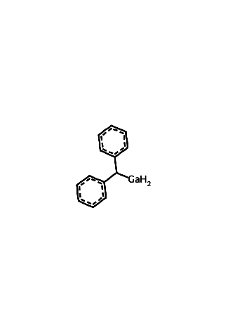 [GaH2][CH](c1ccccc1)c1ccccc1